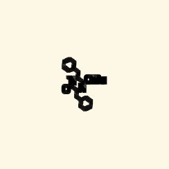 CC(C)COc1n/c(=C\c2ccccc2)c(=O)n(C)/c1=C\c1ccccc1